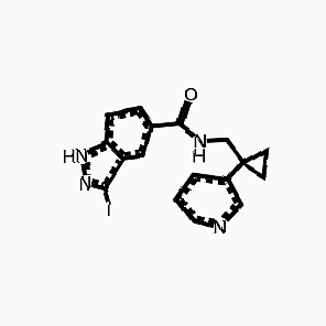 O=C(NCC1(c2cccnc2)CC1)c1ccc2[nH]nc(I)c2c1